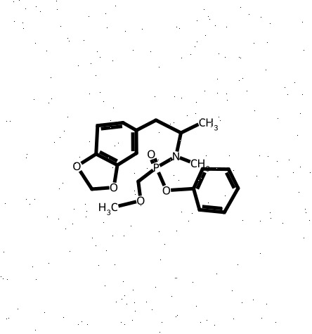 COCP(=O)(Oc1ccccc1)N(C)C(C)Cc1ccc2c(c1)OCO2